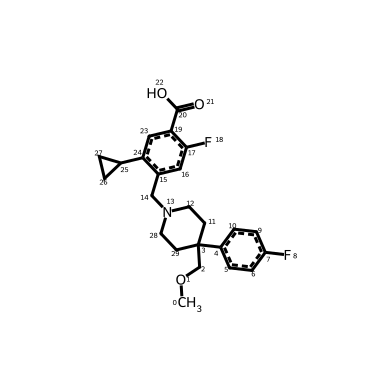 COCC1(c2ccc(F)cc2)CCN(Cc2cc(F)c(C(=O)O)cc2C2CC2)CC1